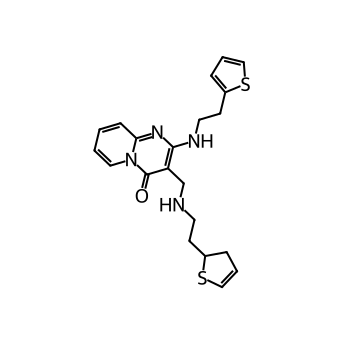 O=c1c(CNCCC2CC=CS2)c(NCCc2cccs2)nc2ccccn12